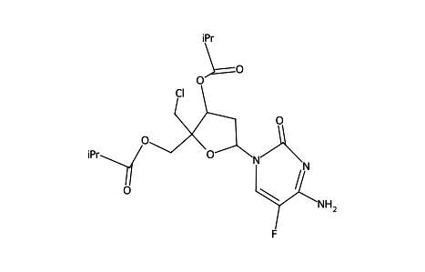 CC(C)C(=O)OCC1(CCl)OC(n2cc(F)c(N)nc2=O)CC1OC(=O)C(C)C